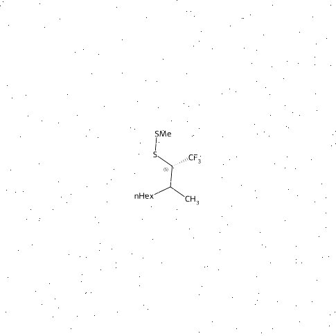 CCCCCCC(C)[C@H](SSC)C(F)(F)F